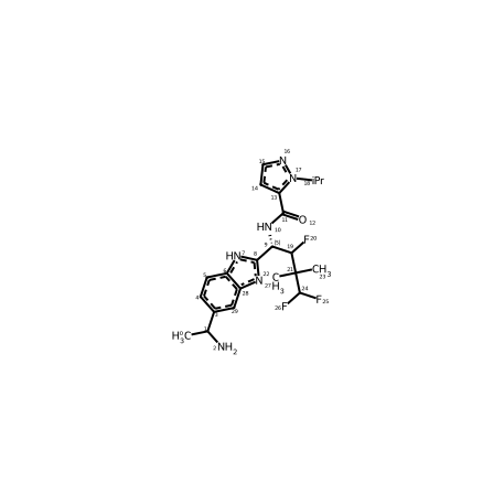 CC(N)c1ccc2[nH]c([C@H](NC(=O)c3ccnn3C(C)C)C(F)C(C)(C)C(F)F)nc2c1